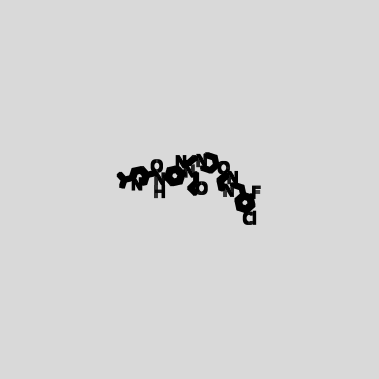 CC(C)c1ccc(C(=O)Nc2ccc3c(c2)nc(CN2CCC(Oc4ccnc(Cc5ccc(Cl)cc5F)n4)CC2)n3CC2CCO2)cn1